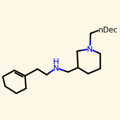 CCCCCCCCCCCN1CCCC(CNCCC2=CCCCC2)C1